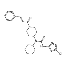 O=C(/C=C/c1ccccc1)N1CCC(N(C(=O)Nc2ncc(Cl)s2)C2CCCCC2)CC1